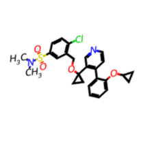 CN(C)S(=O)(=O)c1ccc(Cl)c(COC2(c3cnccc3-c3ccccc3OC3CC3)CC2)c1